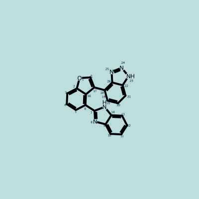 [c]1oc2cccc(-c3nc4ccccc4[nH]3)c2c1-c1cccc2[nH]nnc12